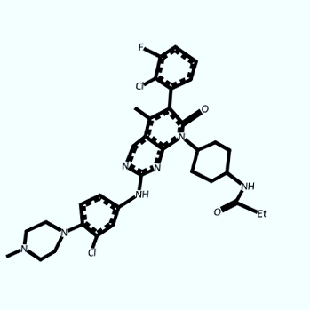 CCC(=O)NC1CCC(n2c(=O)c(-c3cccc(F)c3Cl)c(C)c3cnc(Nc4ccc(N5CCN(C)CC5)c(Cl)c4)nc32)CC1